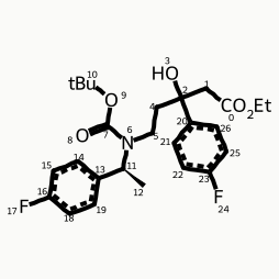 CCOC(=O)CC(O)(CCN(C(=O)OC(C)(C)C)[C@@H](C)c1ccc(F)cc1)c1ccc(F)cc1